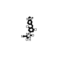 Cn1cnc2ccc(Cc3c(Cl)cc(-n4nc(C#N)c(=O)[nH]c4=O)cc3Cl)cc21